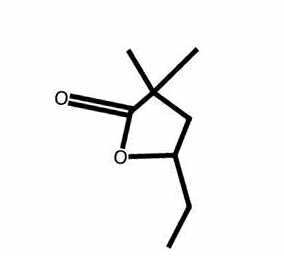 CCC1CC(C)(C)C(=O)O1